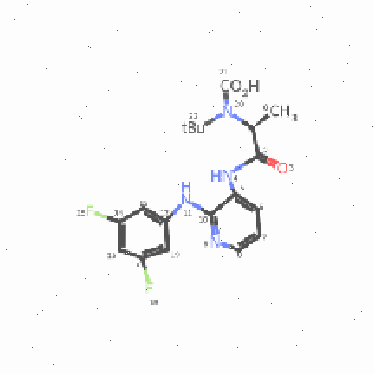 C[C@@H](C(=O)Nc1cccnc1Nc1cc(F)cc(F)c1)N(C(=O)O)C(C)(C)C